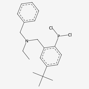 CCN(Cc1ccccc1)Cc1cc(C(C)(C)C)ccc1P(Cl)Cl